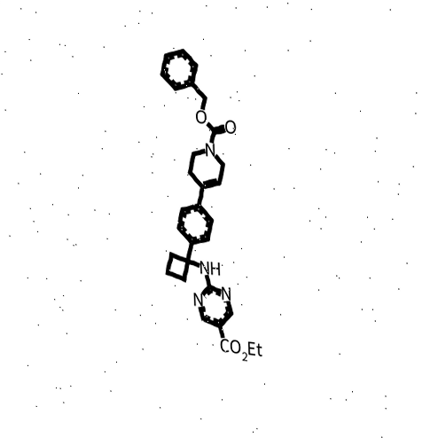 CCOC(=O)c1cnc(NC2(c3ccc(C4=CCN(C(=O)OCc5ccccc5)CC4)cc3)CCC2)nc1